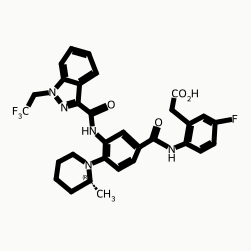 C[C@@H]1CCCCN1c1ccc(C(=O)Nc2ccc(F)cc2CC(=O)O)cc1NC(=O)c1nn(CC(F)(F)F)c2ccccc12